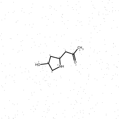 CC(=O)CC1CC(O)CN1